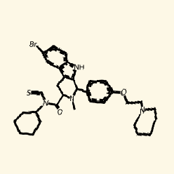 CN1C(C(=O)N(C=S)C2CCCCC2)Cc2c([nH]c3ccc(Br)cc23)C1c1ccc(OCCN2CCCCC2)cc1